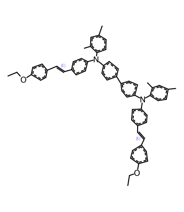 CCOc1ccc(/C=C/c2ccc(N(c3ccc(-c4ccc(N(c5ccc(/C=C/c6ccc(OCC)cc6)cc5)c5ccc(C)cc5C)cc4)cc3)c3ccc(C)cc3C)cc2)cc1